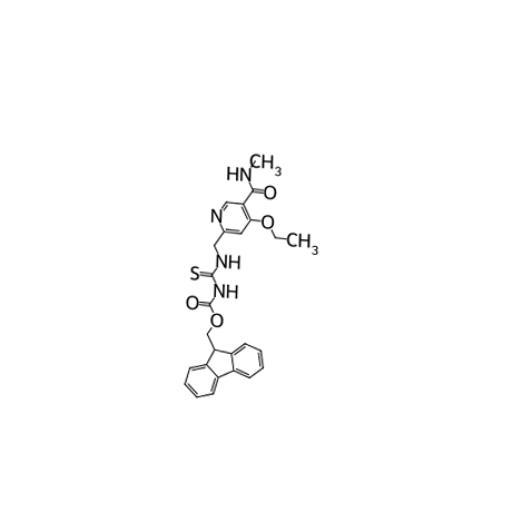 CCOc1cc(CNC(=S)NC(=O)OCC2c3ccccc3-c3ccccc32)ncc1C(=O)NC